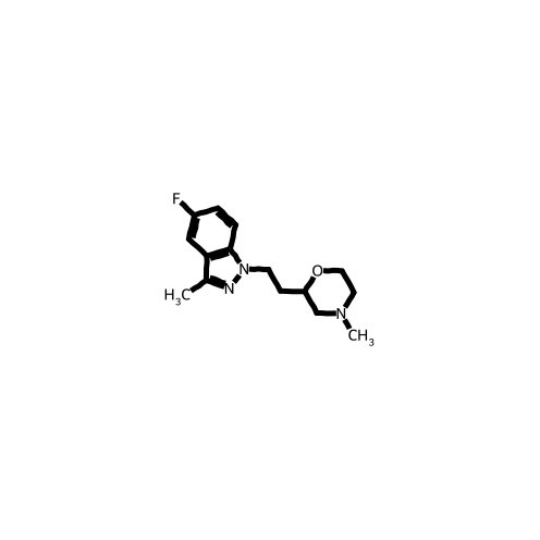 Cc1nn(CCC2CN(C)CCO2)c2ccc(F)cc12